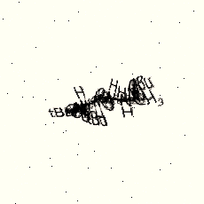 C[C@H](CCNCCCCNC(=O)OCC(=O)NCCCCCCNC(=NC(=O)OC(C)(C)C)NC(=O)OC(C)(C)C)NC(=O)OC(C)(C)C